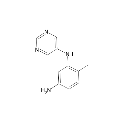 Cc1ccc(N)cc1Nc1cncnc1